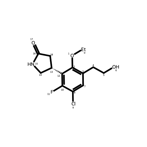 CCOc1c(CCO)cc(Cl)c(F)c1[C@@H]1CNC(=O)C1